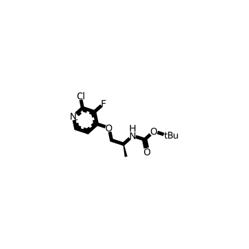 C[C@@H](COc1ccnc(Cl)c1F)NC(=O)OC(C)(C)C